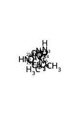 CC1CC(C)CN(c2ncnc3[nH]ccc23)C1.CC1CNCC(C)C1